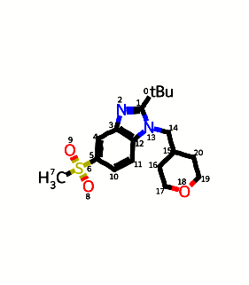 CC(C)(C)c1nc2cc(S(C)(=O)=O)ccc2n1CC1CCOCC1